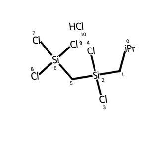 CC(C)C[Si](Cl)(Cl)C[Si](Cl)(Cl)Cl.Cl